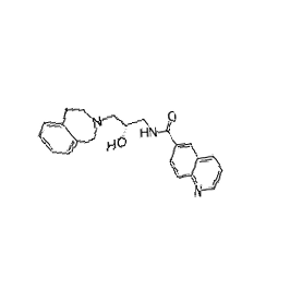 O=C(NC[C@H](O)CN1CCc2ccccc2C1)c1ccc2ncccc2c1